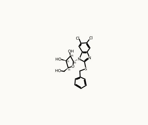 OC[C@@H]1O[C@@H](n2c(SCc3ccccc3)nc3cc(Cl)c(Cl)cc32)[C@H](O)[C@@H]1O